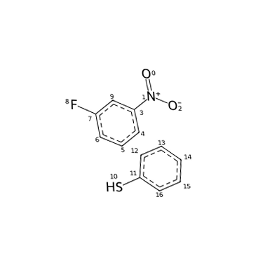 O=[N+]([O-])c1cccc(F)c1.Sc1ccccc1